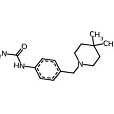 CC1(C)CCN(Cc2ccc(NC(N)=O)cc2)CC1